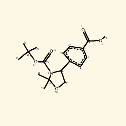 COC(=O)c1ccc(C2COC(C)(C)N2C(=O)OC(C)(C)C)cc1